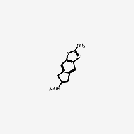 CC(=O)NC1Cc2cc3nc(N)sc3cc2C1